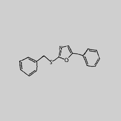 c1ccc(CSc2ncc(-c3ccccc3)o2)cc1